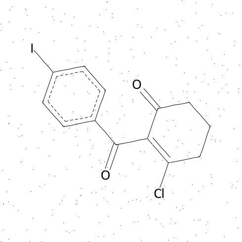 O=C1CCCC(Cl)=C1C(=O)c1ccc(I)cc1